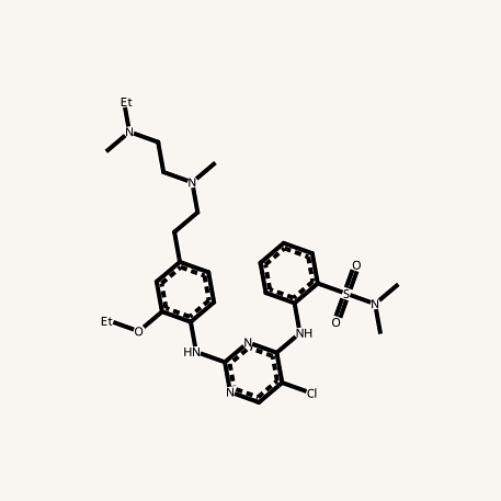 CCOc1cc(CCN(C)CCN(C)CC)ccc1Nc1ncc(Cl)c(Nc2ccccc2S(=O)(=O)N(C)C)n1